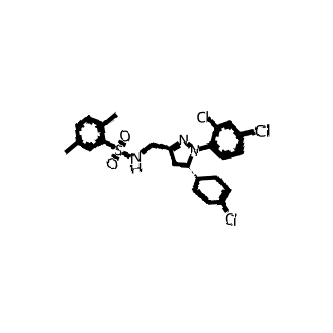 Cc1ccc(C)c(S(=O)(=O)NCC2=NN(c3ccc(Cl)cc3Cl)[C@H](C3C=CC(Cl)=CC3)C2)c1